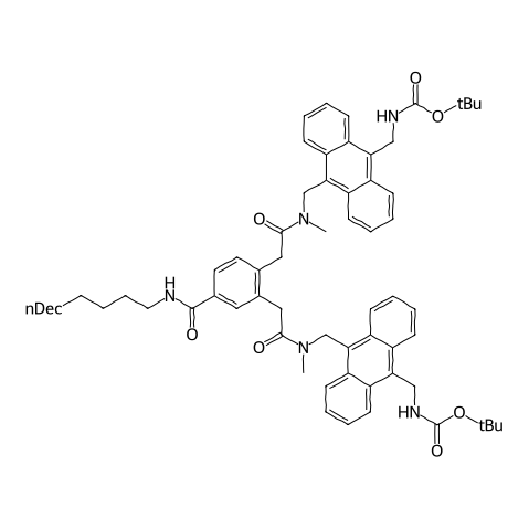 CCCCCCCCCCCCCCNC(=O)c1ccc(CC(=O)N(C)Cc2c3ccccc3c(CNC(=O)OC(C)(C)C)c3ccccc23)c(CC(=O)N(C)Cc2c3ccccc3c(CNC(=O)OC(C)(C)C)c3ccccc23)c1